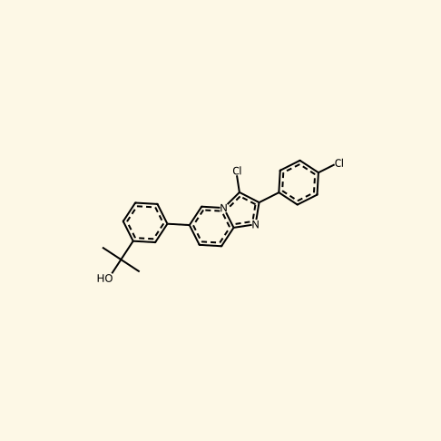 CC(C)(O)c1cccc(-c2ccc3nc(-c4ccc(Cl)cc4)c(Cl)n3c2)c1